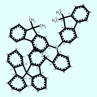 CC1(C)c2ccccc2-c2ccc(N(c3ccc4c(c3)C(C)(C)c3ccccc3-4)c3ccccc3-c3cccc4c3-c3ccccc3C43c4ccccc4-c4ccccc43)cc21